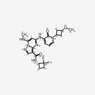 CNc1cc(Nc2cccn(C3CC(OC)C3)c2=O)nc2c(C(=O)N[C@H]3CCC3(F)F)cnn12